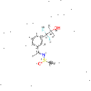 CC(=N[S+]([O-])C(C)(C)C)c1cccc(C(F)(F)C(C)(C)O)c1